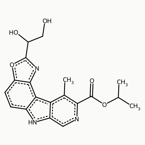 Cc1c(C(=O)OC(C)C)ncc2[nH]c3ccc4oc(C(O)CO)nc4c3c12